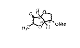 CO[C@@H]1CO[C@H]2C(=O)C(C)O[C@@H]12